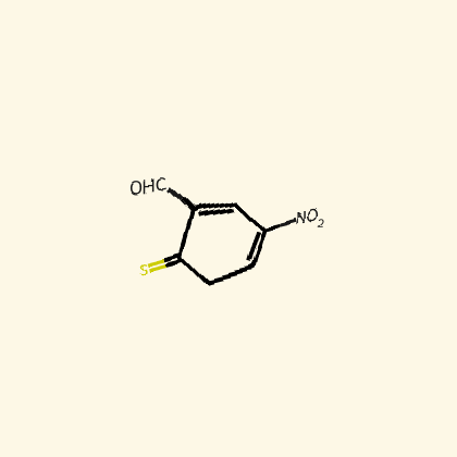 O=CC1=CC([N+](=O)[O-])=CCC1=S